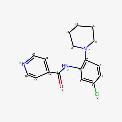 O=C(Nc1cc(Cl)ccc1N1CCCCC1)c1ccncc1